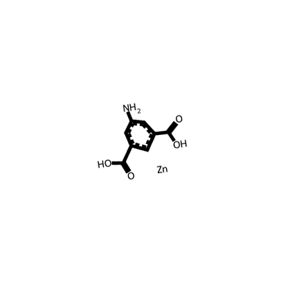 Nc1cc(C(=O)O)cc(C(=O)O)c1.[Zn]